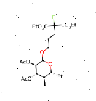 CCOC(=O)C(F)(CCCOC1O[C@H](CC)[C@@H](C)[C@H](OC(C)=O)[C@H]1OC(C)=O)C(=O)OCC